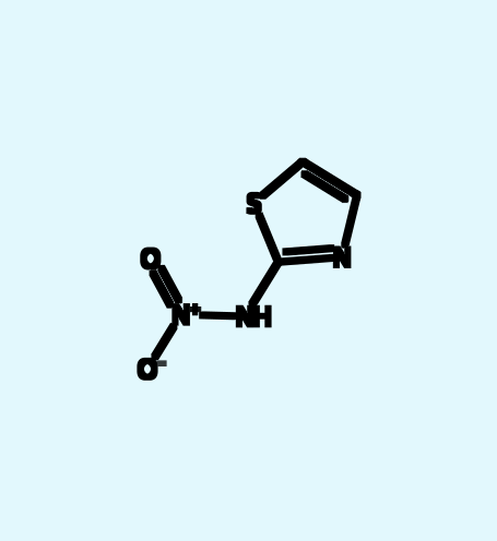 O=[N+]([O-])Nc1nccs1